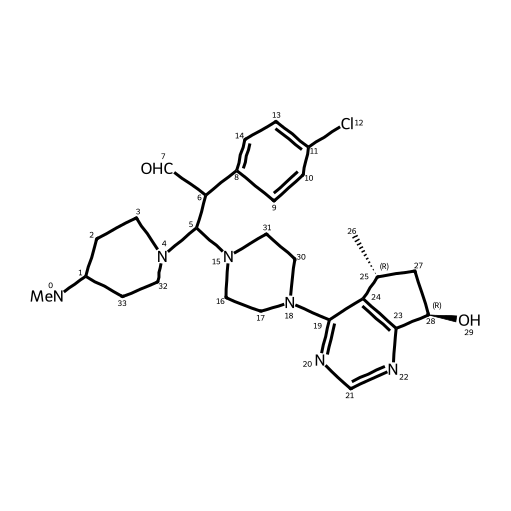 CNC1CCN(C(C(C=O)c2ccc(Cl)cc2)N2CCN(c3ncnc4c3[C@H](C)C[C@H]4O)CC2)CC1